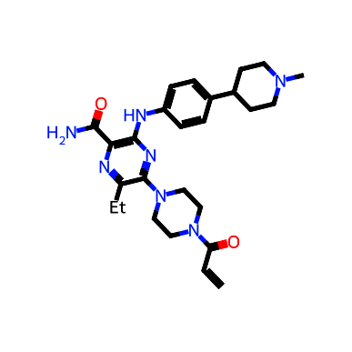 C=CC(=O)N1CCN(c2nc(Nc3ccc(C4CCN(C)CC4)cc3)c(C(N)=O)nc2CC)CC1